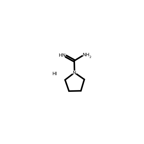 I.N=C(N)N1CCCC1